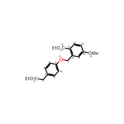 CCOC(=O)Cc1ccc(OCc2cc(OC)ccc2C(=O)OCC)cc1